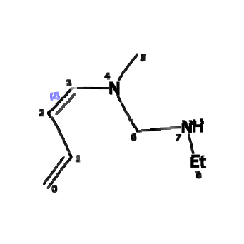 C=C/C=C\N(C)CNCC